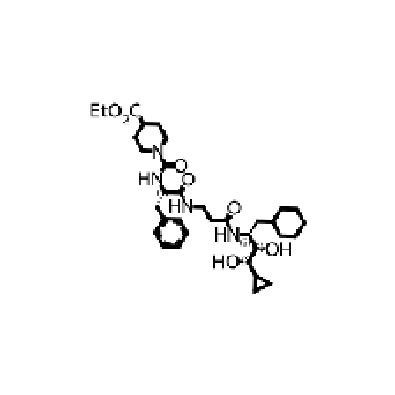 CCOC(=O)C1CCN(C(=O)N[C@@H](Cc2ccccc2)C(=O)NCCC(=O)N[C@@H](CC2CCCCC2)[C@@H](O)[C@@H](O)C2CC2)CC1